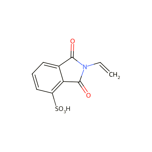 C=CN1C(=O)c2cccc(S(=O)(=O)O)c2C1=O